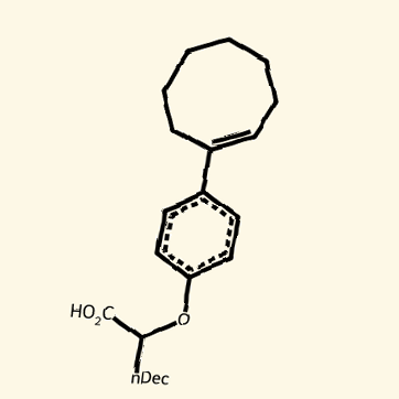 CCCCCCCCCCC(Oc1ccc(/C2=C/CCCCCC2)cc1)C(=O)O